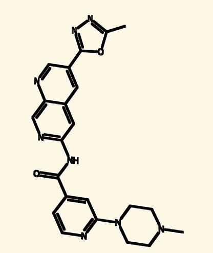 Cc1nnc(-c2cnc3cnc(NC(=O)c4ccnc(N5CCN(C)CC5)c4)cc3c2)o1